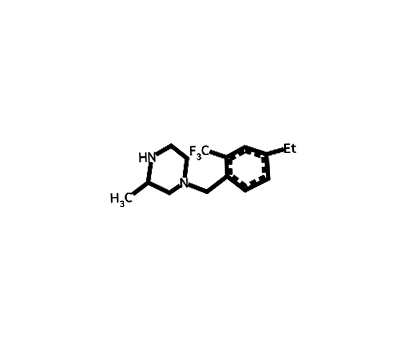 CCc1ccc(CN2CCNC(C)C2)c(C(F)(F)F)c1